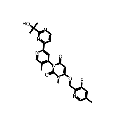 Cc1cnc(COc2cc(=O)n(-c3cc(-c4ccnc(C(C)(C)O)n4)ncc3C)c(=O)n2C)c(F)c1